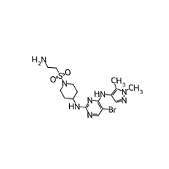 Cc1c(Nc2nc(NC3CCN(S(=O)(=O)CCN)CC3)ncc2Br)cnn1C